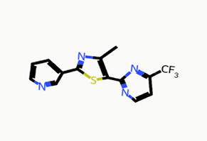 Cc1nc(-c2cccnc2)sc1-c1nccc(C(F)(F)F)n1